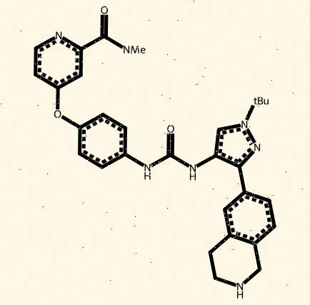 CNC(=O)c1cc(Oc2ccc(NC(=O)Nc3cn(C(C)(C)C)nc3-c3ccc4c(c3)CCNC4)cc2)ccn1